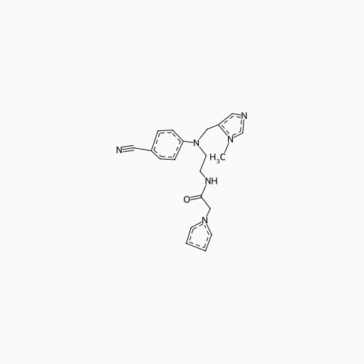 Cn1cncc1CN(CCNC(=O)Cn1cccc1)c1ccc(C#N)cc1